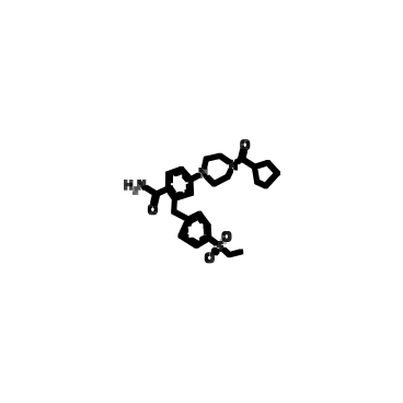 CCS(=O)(=O)c1ccc(Cc2cc(N3CCN(C(=O)C4CCCC4)CC3)ccc2C(N)=O)cc1